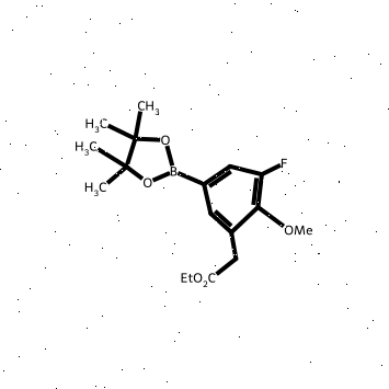 CCOC(=O)Cc1cc(B2OC(C)(C)C(C)(C)O2)cc(F)c1OC